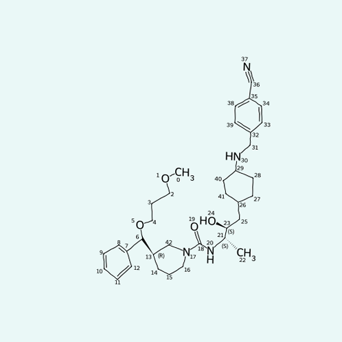 COCCCOC(c1ccccc1)[C@@H]1CCCN(C(=O)N[C@@H](C)[C@@H](O)CC2CCC(NCc3ccc(C#N)cc3)CC2)C1